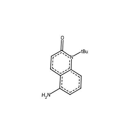 CC(C)(C)n1c(=O)ccc2c(N)cccc21